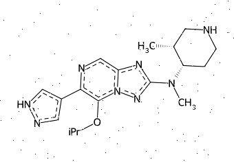 CC(C)Oc1c(-c2cn[nH]c2)ncc2nc(N(C)[C@H]3CCNC[C@H]3C)nn12